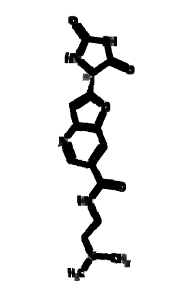 CN(C)CCNC(=O)c1cnc2cc([C@@H]3NC(=O)NC3=O)oc2c1